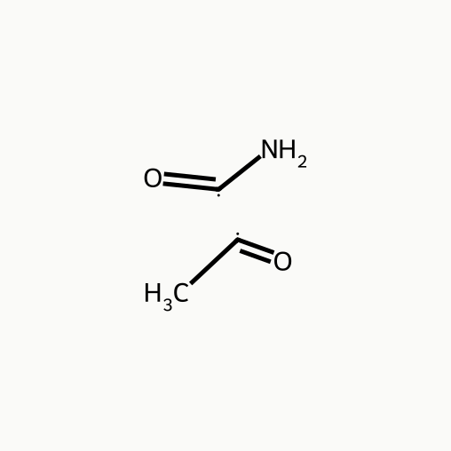 C[C]=O.N[C]=O